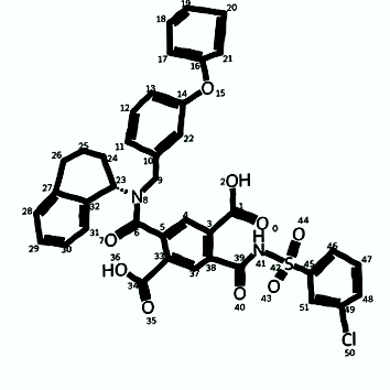 O=C(O)c1cc(C(=O)N(Cc2cccc(Oc3ccccc3)c2)[C@H]2CCCc3ccccc32)c(C(=O)O)cc1C(=O)NS(=O)(=O)c1cccc(Cl)c1